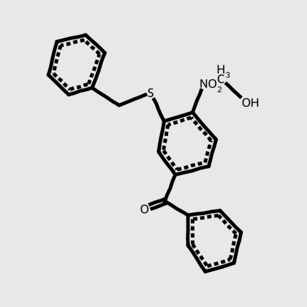 CO.O=C(c1ccccc1)c1ccc([N+](=O)[O-])c(SCc2ccccc2)c1